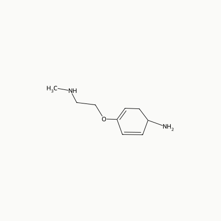 CNCCOC1=CCC(N)C=C1